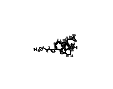 CCCCOc1ccc2c3c1OC1CCC[C@@]4(O)[C@@H](C2)N(CC2CC2)CC[C@]314